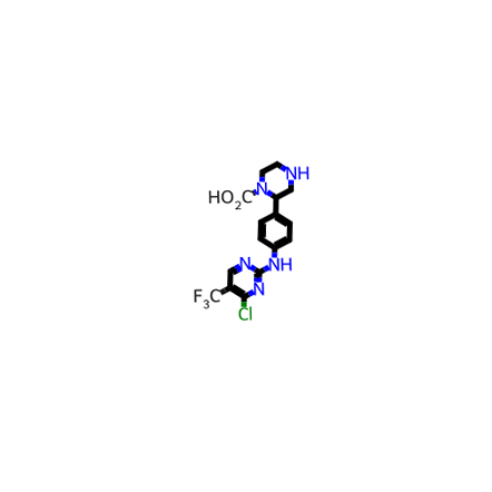 O=C(O)N1CCNCC1c1ccc(Nc2ncc(C(F)(F)F)c(Cl)n2)cc1